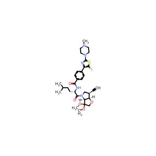 C#C[C@@H]1CN(C(=O)[C@H](CCC(C)C)NC(=O)c2ccc(-c3nc(N4CCN(C)CC4)sc3F)cc2)[C@H]2[C@@H]1OCC2(OC)OC